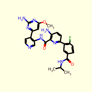 COc1cc(-c2ccncc2NC(=O)c2nc(-c3cc(C(=O)NC(C)C)ccc3F)ccc2N)nc(N)n1